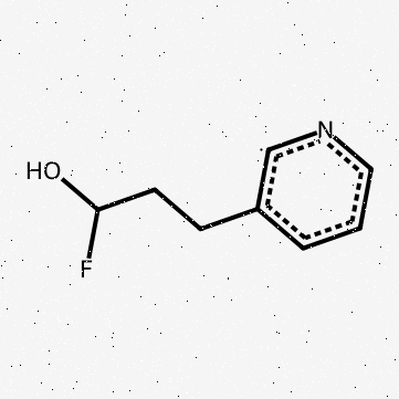 OC(F)CCc1[c]nccc1